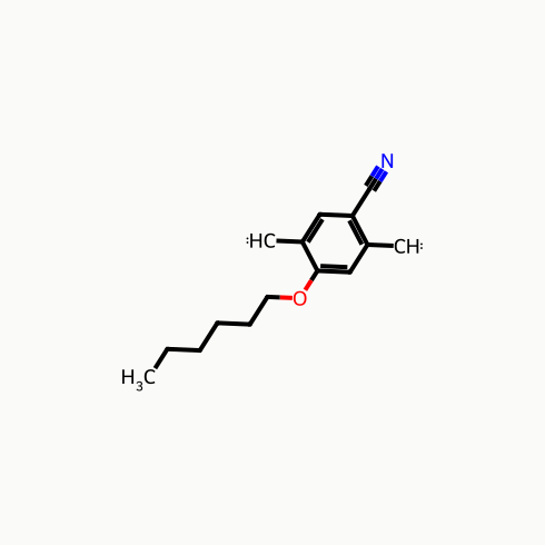 [CH]c1cc(OCCCCCC)c([CH])cc1C#N